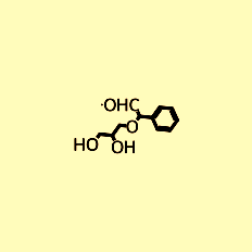 O=[C]C(OCC(O)CO)c1ccccc1